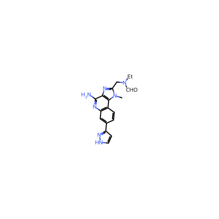 CCN(C=O)Cc1nc2c(N)nc3cc(-c4cc[nH]n4)ccc3c2n1C